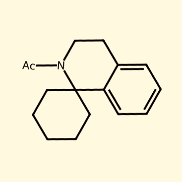 CC(=O)N1CCc2ccccc2C12CCCCC2